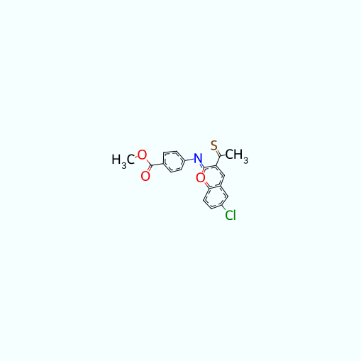 COC(=O)c1ccc(/N=c2\oc3ccc(Cl)cc3cc2C(C)=S)cc1